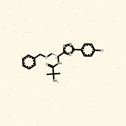 CC(C)(N)C(=O)N[C@H](COCc1ccccc1)c1nnc(-c2ccc(Cl)cc2)o1